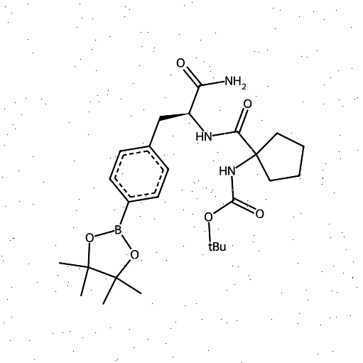 CC(C)(C)OC(=O)NC1(C(=O)N[C@@H](Cc2ccc(B3OC(C)(C)C(C)(C)O3)cc2)C(N)=O)CCCC1